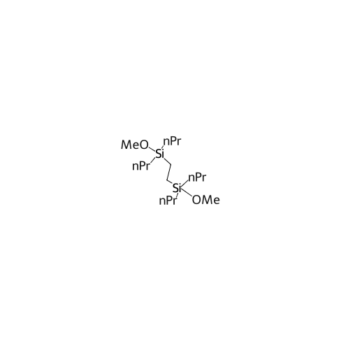 CCC[Si](CCC)(CC[Si](CCC)(CCC)OC)OC